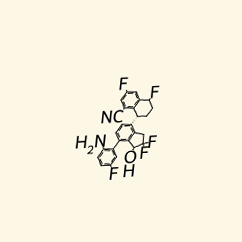 N#Cc1cc(F)cc2c1[C@@H](c1ccc(-c3cc(F)ccc3N)c3c1CC(F)(F)[C@H]3O)CC[C@@H]2F